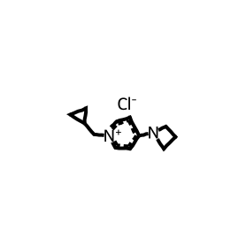 [Cl-].c1c[n+](CC2CC2)ccc1N1CCC1